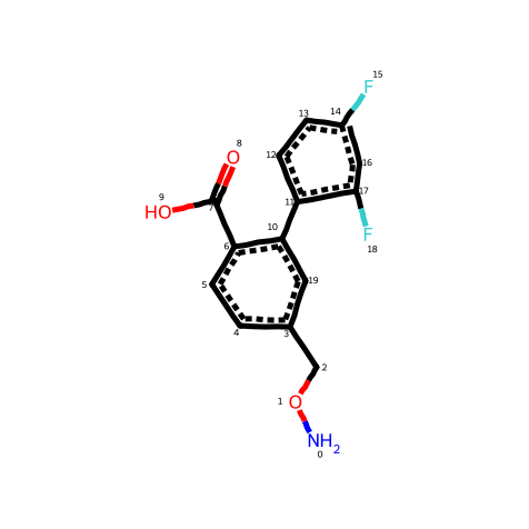 NOCc1ccc(C(=O)O)c(-c2ccc(F)cc2F)c1